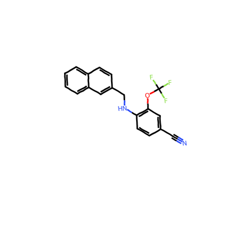 N#Cc1ccc(NCc2ccc3ccccc3c2)c(OC(F)(F)F)c1